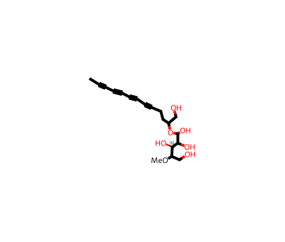 CC#CC#CC#CC#CCCC(CO)OC(O)C(O)[C@H](O)C(CO)OC